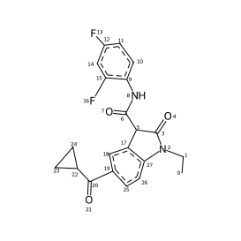 CCN1C(=O)C(C(=O)Nc2ccc(F)cc2F)c2cc(C(=O)C3CC3)ccc21